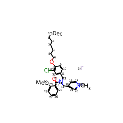 CCCCCCCCCCCCCCCCOc1ccc(CN(Cc2cc[n+](C)cc2)C(=O)c2ccccc2OC)cc1Cl.[I-]